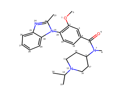 COc1cc(C(=O)N(C)C2CCN(C(C)C)CC2)ccc1-n1c(C)nc2ccccc21